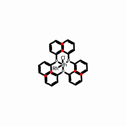 [Cl][Rh]([Rh])([P](c1ccccc1)c1ccccc1)([P](c1ccccc1)c1ccccc1)[P](c1ccccc1)c1ccccc1